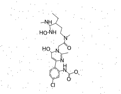 CCC(CCN(C)C(=O)CN1C(C)=NC(c2ccc(Cl)cc2NC(=O)OC)=CC1O)C(NC)NO